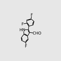 O=Cc1c(-c2ccc(F)cc2F)[nH]c2ccc(F)cc12